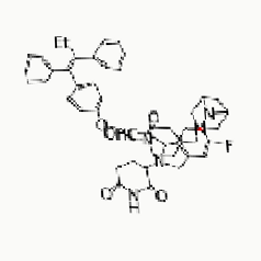 CCC(=C(c1ccccc1)c1ccc(OCCN2CCC(CN3CC4CC(C3)N4c3cc4c(cc3F)CN(C3CCC(=O)NC3=O)C4C(=O)C=O)CC2)cc1)c1ccccc1